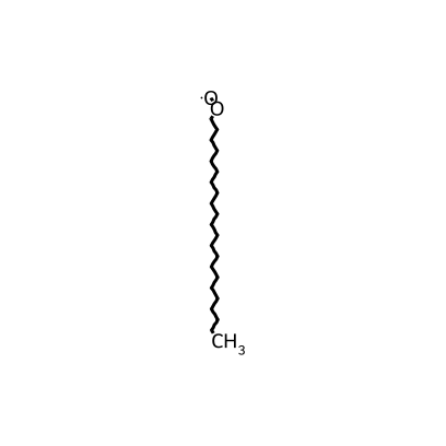 CCCCCCCCCCCCCCCCCCCCCCO[O]